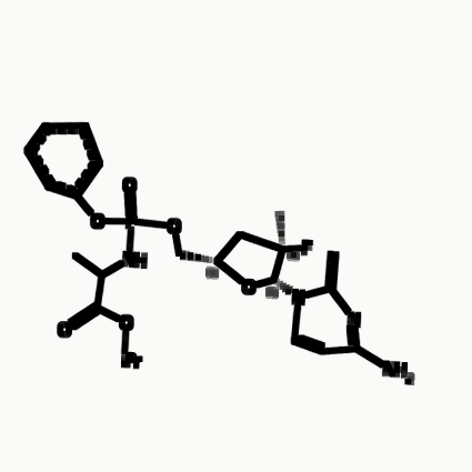 C=C1N=C(N)C=CN1[C@@H]1O[C@H](COP(=O)(NC(C)C(=O)OC(C)C)Oc2ccccc2)C[C@@]1(C)F